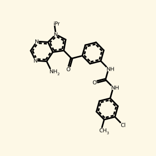 Cc1ccc(NC(=O)Nc2cccc(C(=O)c3cn(C(C)C)c4ncnc(N)c34)c2)cc1Cl